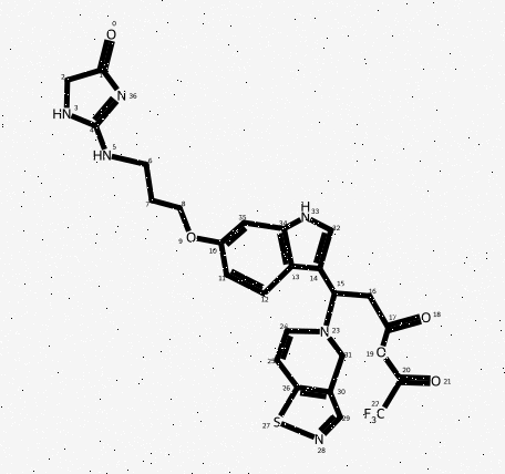 O=C1CNC(NCCCOc2ccc3c(C(CC(=O)OC(=O)C(F)(F)F)N4C=Cc5sncc5C4)c[nH]c3c2)=N1